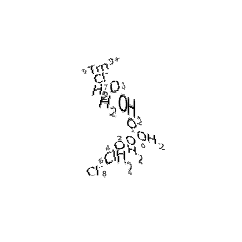 O.O.O.O.O.O.[Cl-].[Cl-].[Cl-].[Tm+3]